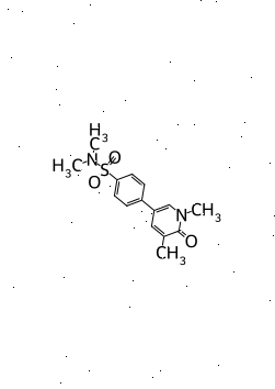 Cc1cc(-c2ccc(S(=O)(=O)N(C)C)cc2)cn(C)c1=O